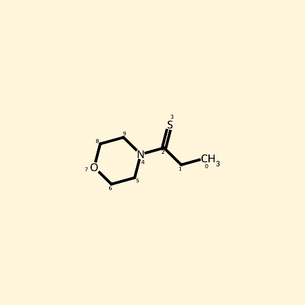 CCC(=S)N1CCOCC1